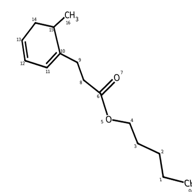 CCCCCOC(=O)CCC1=CC=CCC1C